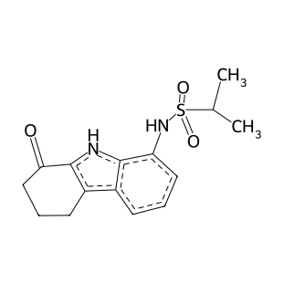 CC(C)S(=O)(=O)Nc1cccc2c3c([nH]c12)C(=O)CCC3